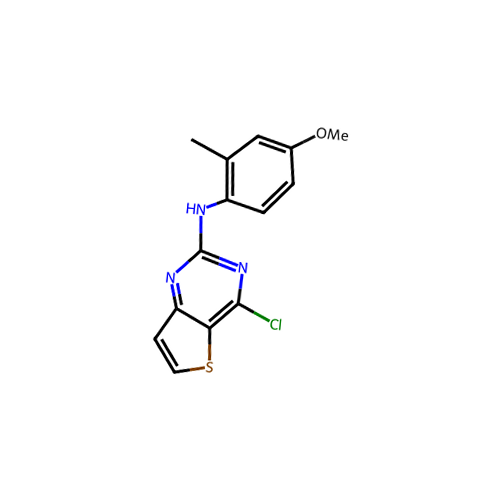 COc1ccc(Nc2nc(Cl)c3sccc3n2)c(C)c1